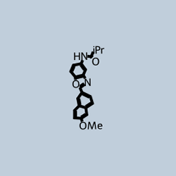 COc1ccc2cc(-c3nc4cc(NC(=O)C(C)C)ccc4o3)ccc2c1